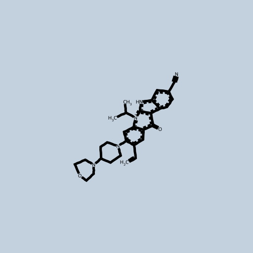 C=Cc1cc2c(=O)c3c4ccc(C#N)cc4[nH]c3n(C(C)C)c2cc1N1CCC(N2CCOCC2)CC1